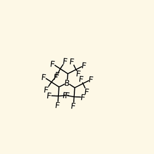 FC(F)(F)C(B(C(C(F)(F)F)C(F)(F)F)C(C(F)(F)F)C(F)(F)F)C(F)(F)F